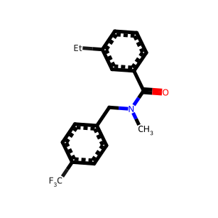 CCc1cccc(C(=O)N(C)Cc2ccc(C(F)(F)F)cc2)c1